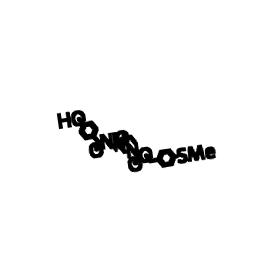 CSc1ccc(COC(=O)N2CCO[C@H](CNC(=O)c3ccc(O)cc3)C2)cc1